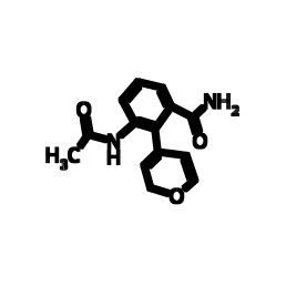 CC(=O)Nc1cccc(C(N)=O)c1C1=CCOC=C1